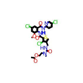 COc1cc(Cl)cc(C(=O)Nc2ccc(Cl)cn2)c1NC(=O)c1scc(CNC(=O)N(C)CCOC(C)=O)c1Cl